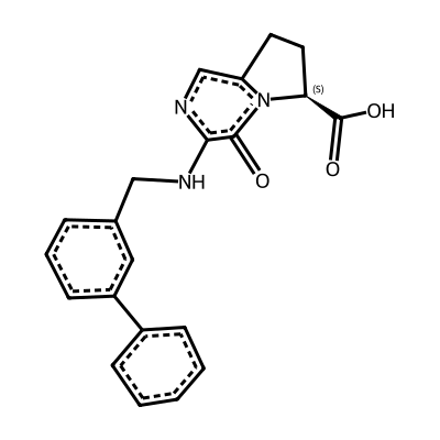 O=C(O)[C@@H]1CCc2cnc(NCc3cccc(-c4ccccc4)c3)c(=O)n21